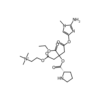 CCOC(=O)C(CC(=O)OCC[N+](C)(C)C)(CC(=O)Oc1cn(C)c(N)n1)OC(=O)[C@@H]1CCCN1